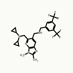 Cc1nc2cc(CNCc3cc(C(F)(F)F)cc(C(F)(F)F)c3)c(CN(C3CC3)C3CC3)nc2n1C